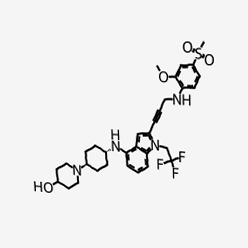 COc1cc(S(C)(=O)=O)ccc1NCC#Cc1cc2c(N[C@H]3CC[C@H](N4CCC(O)CC4)CC3)cccc2n1CC(F)(F)F